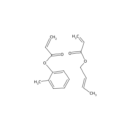 C=CC(=O)OCC=CC.C=CC(=O)Oc1ccccc1C